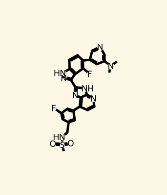 CN(C)c1cncc(-c2ccc3[nH]nc(-c4nc5c(-c6cc(F)cc(CNS(C)(=O)=O)c6)ccnc5[nH]4)c3c2F)c1